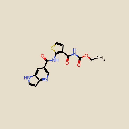 CCOC(=O)NC(=O)c1ccsc1NC(=O)c1cnc2cc[nH]c2c1